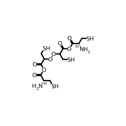 N[C@@H](CS)C(=O)OC(=O)C(CS)OOC(CS)C(=O)OC(=O)[C@@H](N)CS